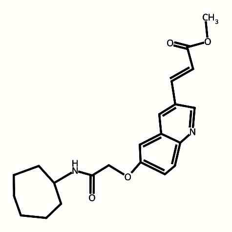 COC(=O)/C=C/c1cnc2ccc(OCC(=O)NC3CCCCCC3)cc2c1